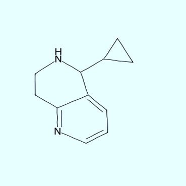 c1cnc2c(c1)C(C1CC1)NCC2